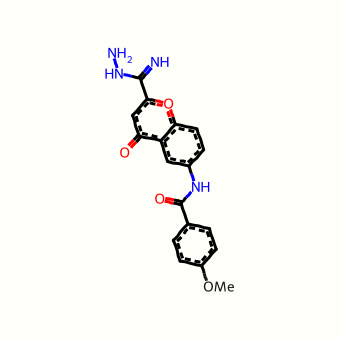 COc1ccc(C(=O)Nc2ccc3oc(C(=N)NN)cc(=O)c3c2)cc1